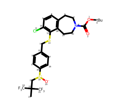 CC(C)(C)OC(=O)N1CCc2ccc(Cl)c(SCc3ccc([S+]([O-])CC(C)(C(F)(F)F)C(F)(F)F)cc3)c2CC1